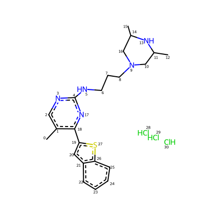 Cc1cnc(NCCCN2CC(C)NC(C)C2)nc1-c1cc2ccccc2s1.Cl.Cl.Cl